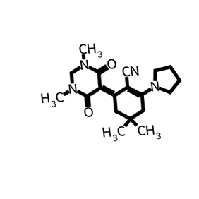 CN1CN(C)C(=O)C(=C2CC(C)(C)CC(N3CCCC3)=C2C#N)C1=O